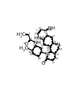 C=CC(=O)Nc1cc(-n2c(=O)ccc3cnc4ccc(N/C=C\C=N)cc4c32)ccc1C